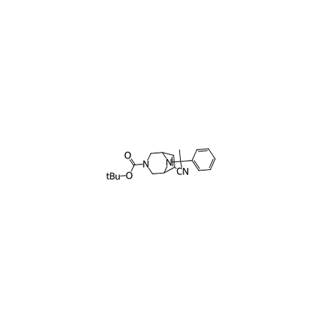 CC(C)(C)OC(=O)N1CC2C=C(C#N)C(C1)N2C(C)(C)c1ccccc1